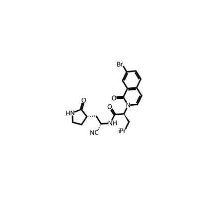 CC(C)C[C@@H](C(=O)N[C@H](C#N)C[C@@H]1CCNC1=O)n1ccc2ccc(Br)cc2c1=O